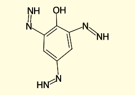 N=Nc1cc(N=N)c(O)c(N=N)c1